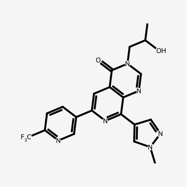 CC(O)Cn1cnc2c(-c3cnn(C)c3)nc(-c3ccc(C(F)(F)F)nc3)cc2c1=O